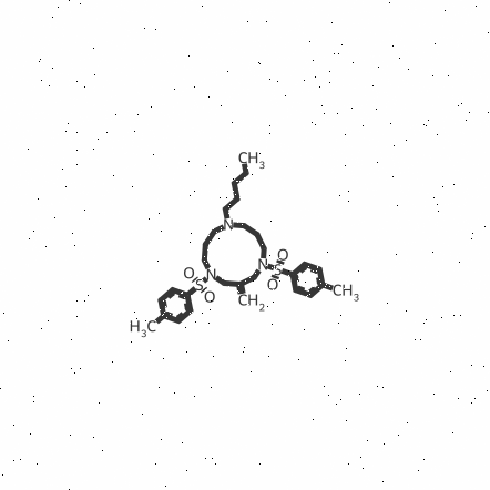 C=C1CN(S(=O)(=O)c2ccc(C)cc2)CCCN(CCCCC)CCCN(S(=O)(=O)c2ccc(C)cc2)C1